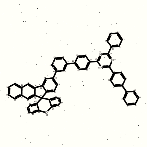 c1ccc(-c2ccc(-c3nc(-c4ccccc4)nc(-c4ccc(-c5cccc(-c6ccc7c(c6)-c6cc8ccccc8cc6C76c7ccccc7Oc7ccccc76)c5)cc4)n3)cc2)cc1